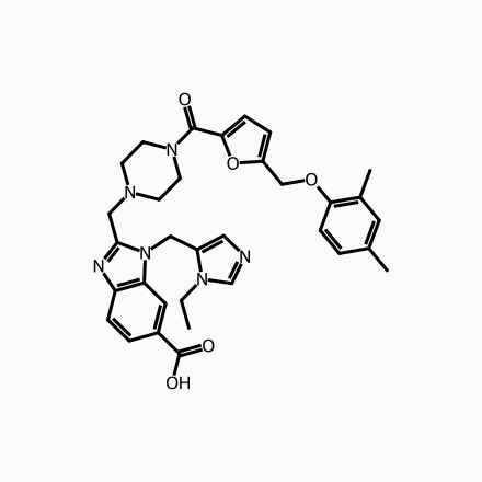 CCn1cncc1Cn1c(CN2CCN(C(=O)c3ccc(COc4ccc(C)cc4C)o3)CC2)nc2ccc(C(=O)O)cc21